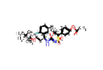 CC(=O)Oc1ccc(C2C(C)(C)OC(N[C@@H](CCO[Si](C)(C)C(C)(C)C)c3ccccc3F)=NS2(=O)=O)cc1